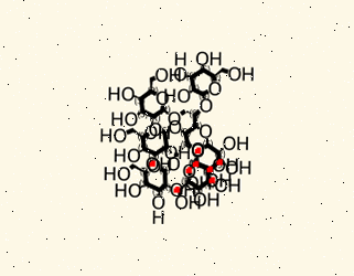 OC[C@H]1O[C@@H](OC[C@H](O[C@@H]2O[C@H](CO)[C@@H](O)[C@H](O)[C@H]2O)[C@@H](O[C@@H]2O[C@H](CO)[C@@H](O)[C@H](O)[C@H]2O)[C@H](O[C@@H]2O[C@H](CO)[C@@H](O)[C@H](O)[C@H]2O)[C@@H](CO[C@@H]2O[C@H](CO)[C@@H](O)[C@H](O)[C@H]2O)O[C@@H]2O[C@H](CO)[C@@H](O)[C@H](O)[C@H]2O)[C@H](O)[C@@H](O)[C@@H]1O